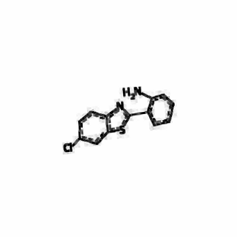 Nc1ccccc1-c1nc2ccc(Cl)cc2s1